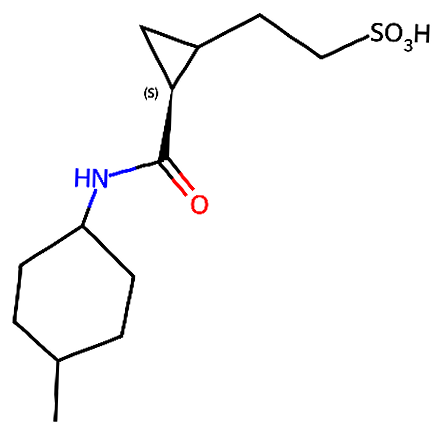 CC1CCC(NC(=O)[C@H]2CC2CCS(=O)(=O)O)CC1